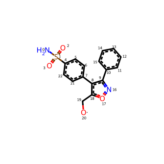 NS(=O)(=O)c1ccc(-c2c(-c3ccccc3)noc2C[O])cc1